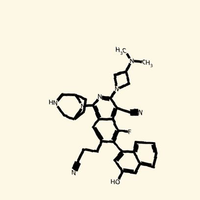 CN(C)C1CN(c2nc(N3C4CCC3CNC4)c3cc(CCC#N)c(-c4cc(O)cc5ccccc45)c(F)c3c2C#N)C1